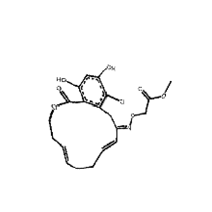 COC(=O)CO/N=C1/C=C/CC/C=C/CCOC(=O)c2c(O)cc(O)c(Cl)c2C1